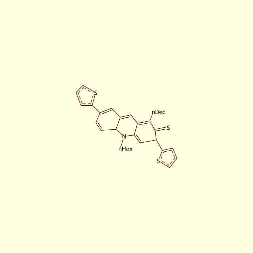 CCCCCCCCCCC1=C2C=C3C=C(c4cccs4)C=CC3N(CCCCCC)C2=CC(c2cccs2)C1=S